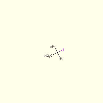 CCCC(I)(CC)C(=O)O